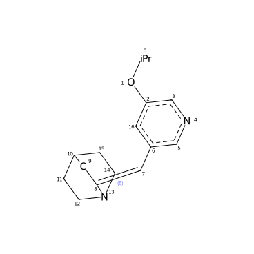 CC(C)Oc1cncc(/C=C2\CC3CCN2CC3)c1